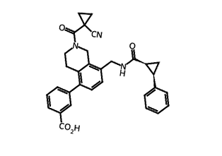 N#CC1(C(=O)N2CCc3c(-c4cccc(C(=O)O)c4)ccc(CNC(=O)[C@H]4C[C@H]4c4ccccc4)c3C2)CC1